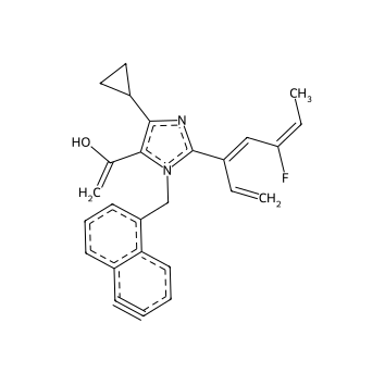 C=C/C(=C\C(F)=C/C)c1nc(C2CC2)c(C(=C)O)n1Cc1cccc2c#cccc12